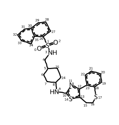 O=S(=O)(NCC1CCC(Nc2nc3c(s2)CCSc2ccccc2-3)CC1)c1cccc2ccccc12